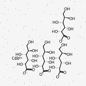 O=C([O-])[C@H](O)[C@@H](O)[C@H](O)[C@H](O)CO.O=C([O-])[C@H](O)[C@@H](O)[C@H](O)[C@H](O)CO.O=C([O-])[C@H](O)[C@@H](O)[C@H](O)[C@H](O)CO.O=C([O-])[C@H](O)[C@@H](O)[C@H](O)[C@H](O)CO.[Cu+2].[Cu+2]